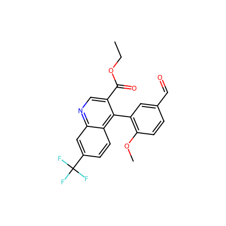 CCOC(=O)c1cnc2cc(C(F)(F)F)ccc2c1-c1cc(C=O)ccc1OC